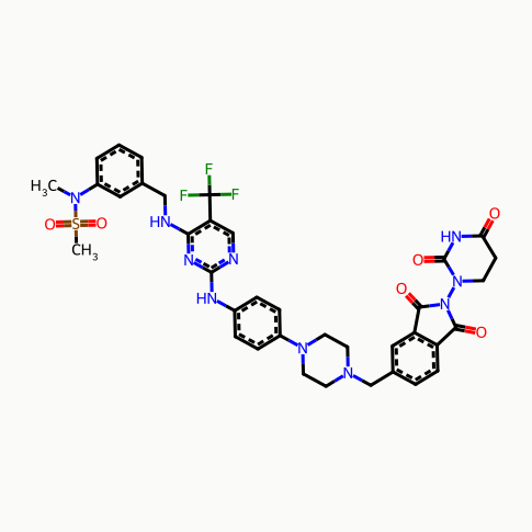 CN(c1cccc(CNc2nc(Nc3ccc(N4CCN(Cc5ccc6c(c5)C(=O)N(N5CCC(=O)NC5=O)C6=O)CC4)cc3)ncc2C(F)(F)F)c1)S(C)(=O)=O